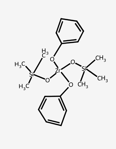 C[Si](C)(C)[O][Zr]([O]c1ccccc1)([O]c1ccccc1)[O][Si](C)(C)C